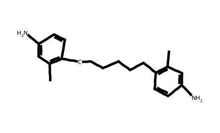 Cc1cc(N)ccc1CCCCCCc1ccc(N)cc1C